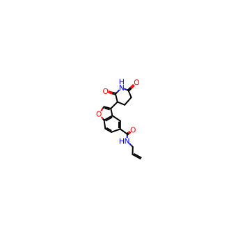 C=CCNC(=O)c1ccc2occ(C3CCC(=O)NC3=O)c2c1